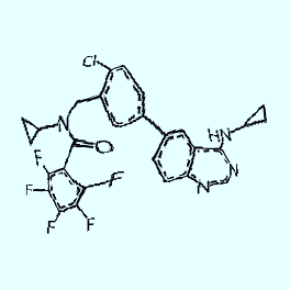 O=C(c1c(F)c(F)c(F)c(F)c1F)N(Cc1cc(-c2ccc3ncnc(NC4CC4)c3c2)ccc1Cl)C1CC1